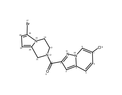 O=C(c1cc2ccc(Cl)cn2n1)N1CCn2c(Br)ccc2C1